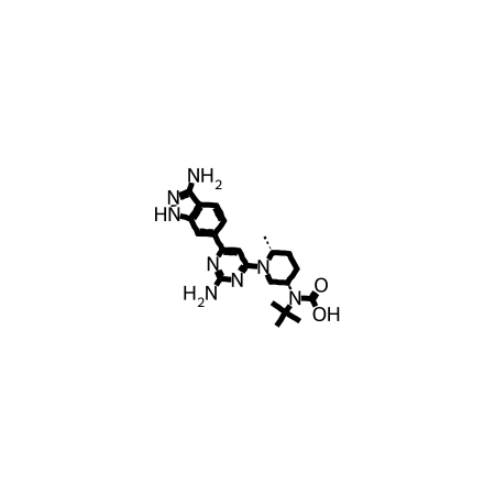 C[C@@H]1CC[C@H](N(C(=O)O)C(C)(C)C)CN1c1cc(-c2ccc3c(N)n[nH]c3c2)nc(N)n1